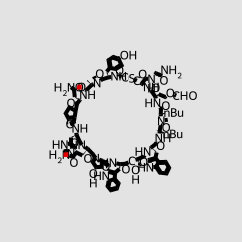 CCCC[C@H]1NC(=O)[C@H](Cc2c[nH]c3ccccc23)NC(=O)[C@H](CO)CC(=O)[C@H](Cc2c[nH]c3ccccc23)NC(=O)[C@@H]2C[C@@H](O)CN2C(=O)[C@H](CCC(N)=O)NC(=O)[C@H](Cc2cnc[nH]2)NC(=O)[C@@H]2CCCC2C(=O)[C@H](CC(N)=O)NC(=O)[C@H](C)N(C)C(=O)[C@H](Cc2ccc(O)cc2)NC(=O)CSCC(C(=O)NCC(N)=O)NC(=O)[C@H](CCOC=O)NC(=O)[C@H](CCCC)N(C)C1=O